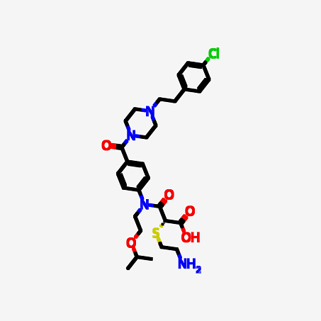 CC(C)OCCN(C(=O)[C@@H](SCCN)C(=O)O)c1ccc(C(=O)N2CCN(CCc3ccc(Cl)cc3)CC2)cc1